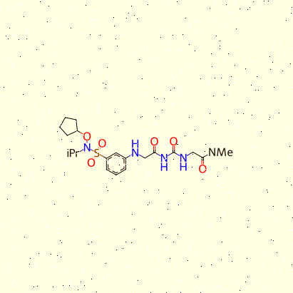 CNC(=O)CNC(=O)NC(=O)CNc1cccc(S(=O)(=O)N(OC2CCCC2)C(C)C)c1